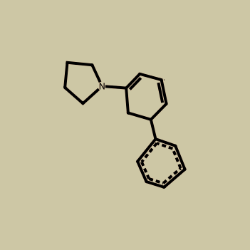 [C]1=CC(c2ccccc2)CC(N2CCCC2)=C1